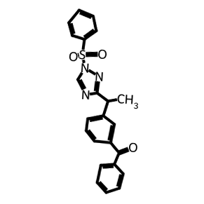 CC(c1cccc(C(=O)c2ccccc2)c1)c1ncn(S(=O)(=O)c2ccccc2)n1